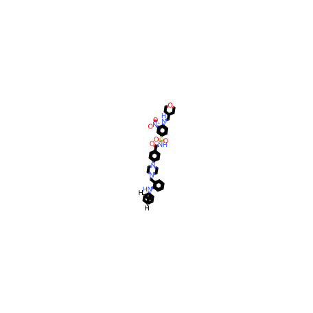 CC1(C)[C@H]2CCC(Nc3ccccc3CN3CCN(c4ccc(C(=O)NS(=O)(=O)c5ccc(NCC6CCOCC6)c([N+](=O)[O-])c5)cc4)CC3)[C@@H]1C2